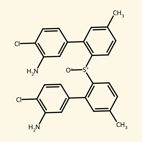 Cc1ccc([S+]([O-])c2ccc(C)cc2-c2ccc(Cl)c(N)c2)c(-c2ccc(Cl)c(N)c2)c1